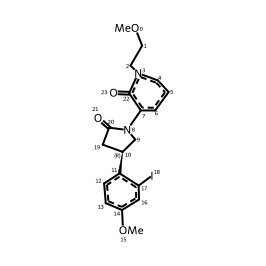 COCCn1cccc(N2C[C@@H](c3ccc(OC)cc3I)CC2=O)c1=O